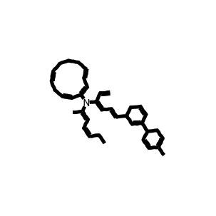 C=C/C(=C\C=C\C1C=C(C2C=CC(C)=CC2)C=CC1)N(/C(C)=C/C=C\CC)C1=C/C=C/CCC/C=C\C/C=C\1